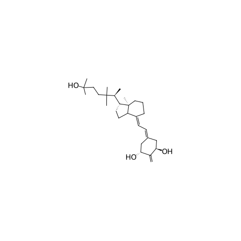 C=C1[C@H](O)CC(=C/C=C2\CCC[C@@]3(C)C2CC[C@@H]3[C@H](C)C(C)(C)CCC(C)(C)O)C[C@H]1O